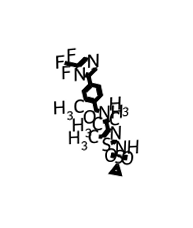 Cc1cc(-c2cncc(C(F)(F)F)n2)ccc1C(=O)NC(C)(C)c1nc(NS(=O)(=O)C2CC2)sc1C